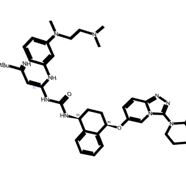 C[C@H]1CCCCN1c1nnc2ccc(O[C@@H]3CC[C@H](NC(=O)N/C(=C/C(=N)C(C)(C)C)Nc4cccc(N(C)CCN(C)C)c4)c4ccccc43)cn12